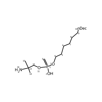 C=P(O)(OCCCCCCCCCCCCCCCC)OCC(C)(C)N